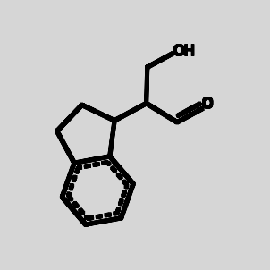 O=CC(CO)C1CCc2ccccc21